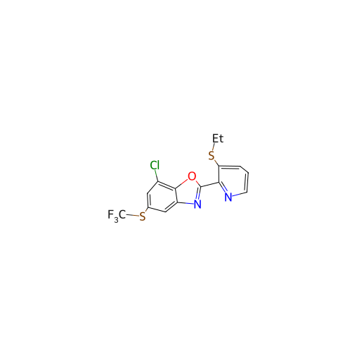 CCSc1cccnc1-c1nc2cc(SC(F)(F)F)cc(Cl)c2o1